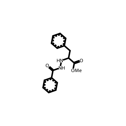 COC(=O)C(Cc1ccccc1)NNC(=O)c1ccccc1